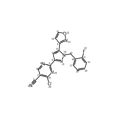 N#Cc1cnc(-c2cc(-c3ccon3)n(Cc3ccccc3F)n2)nc1Cl